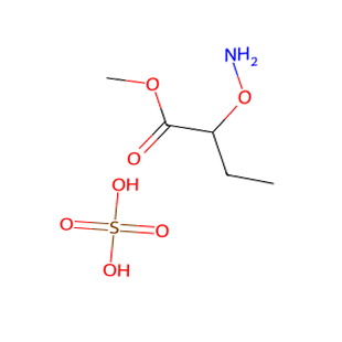 CCC(ON)C(=O)OC.O=S(=O)(O)O